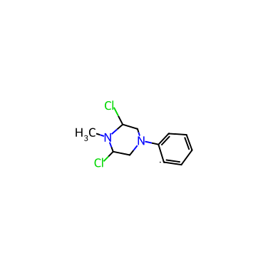 CN1C(Cl)CN(c2[c]cccc2)CC1Cl